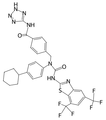 O=C(Nc1nn[nH]n1)c1ccc(CN(C(=O)Nc2nc3cc(C(F)(F)F)cc(C(F)(F)F)c3s2)c2ccc(C3CCCCC3)cc2)cc1